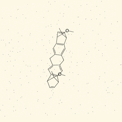 COC1(C)C2C=CC1c1cc3c(cc12)Cc1cc2c(cc1C3)C1C=CC2C1(C)OC